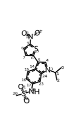 CC(C)n1cc(-c2ccc([N+](=O)[O-])s2)c2ccc(NS(C)(=O)=O)cc21